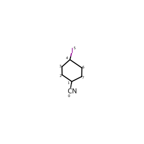 N#CC1CCC(I)CC1